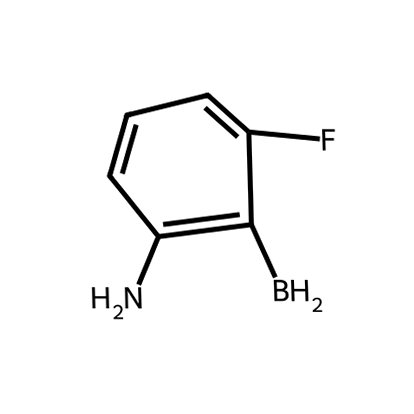 Bc1c(N)cccc1F